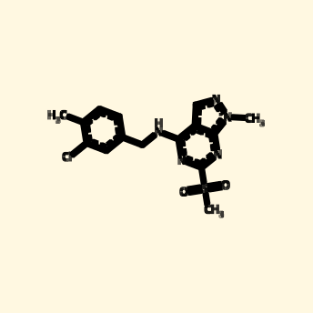 Cc1ccc(CNc2nc(S(C)(=O)=O)nc3c2cnn3C)cc1Cl